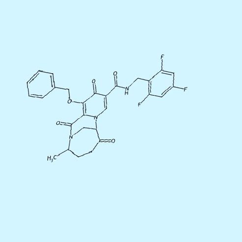 CC1CCC(=O)C2CN1C(=O)c1c(OCc3ccccc3)c(=O)c(C(=O)NCc3c(F)cc(F)cc3F)cn12